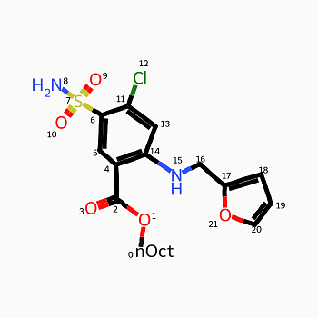 CCCCCCCCOC(=O)c1cc(S(N)(=O)=O)c(Cl)cc1NCc1ccco1